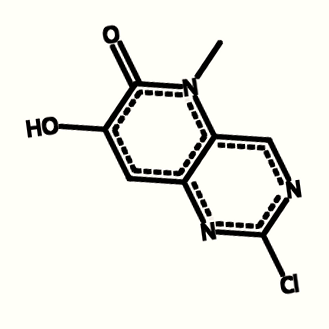 Cn1c(=O)c(O)cc2nc(Cl)ncc21